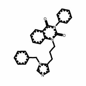 O=c1c2ccccc2n(CCCc2cncn2Cc2ccccc2)c(=O)n1-c1ccccc1